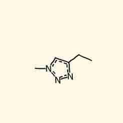 CCc1cn(C)nn1